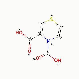 O=C(O)C1=CSC=CN1C(=O)O